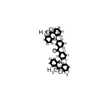 CC1(C)c2ccccc2N(c2cccc(C(=O)c3cccc(N4c5ccccc5C(C)(C)c5ccccc54)c3)c2)c2ccccc21